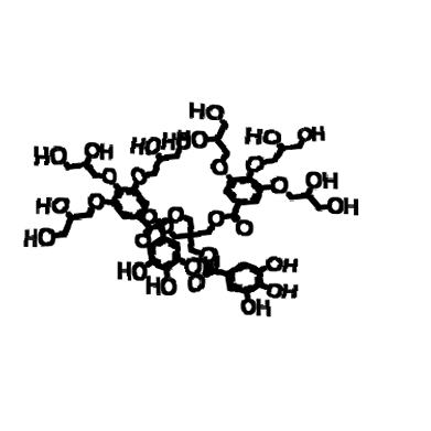 O=C(OCC(COC(=O)c1cc(O)c(O)c(O)c1)(COC(=O)c1cc(OCC(O)CO)c(OCC(O)CO)c(OCC(O)CO)c1)COC(=O)c1cc(OCC(O)CO)c(OCC(O)CO)c(OCC(O)CO)c1)c1cc(O)c(O)c(O)c1